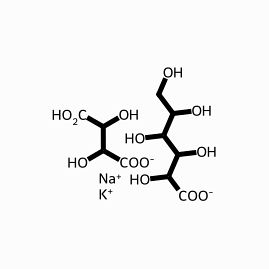 O=C([O-])C(O)C(O)C(=O)O.O=C([O-])C(O)C(O)C(O)C(O)CO.[K+].[Na+]